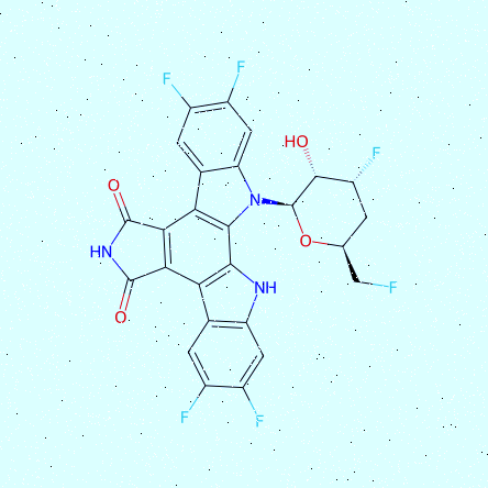 O=C1NC(=O)c2c1c1c3cc(F)c(F)cc3[nH]c1c1c2c2cc(F)c(F)cc2n1[C@@H]1O[C@H](CF)C[C@@H](F)[C@H]1O